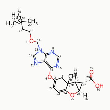 CC12CC(Oc3ncnc4c3ncn4COCC[Si](C)(C)C)=CC=C1O[C@@H]1[C@@H](C(=O)O)[C@@H]12